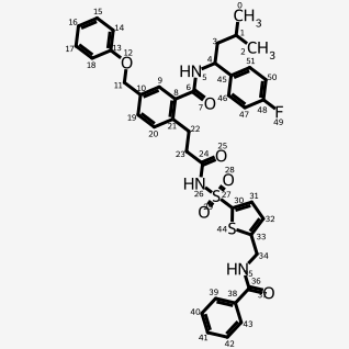 CC(C)CC(NC(=O)c1cc(COc2ccccc2)ccc1CCC(=O)NS(=O)(=O)c1ccc(CNC(=O)c2ccccc2)s1)c1ccc(F)cc1